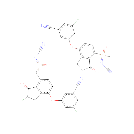 CS(=O)(=NC#N)c1ccc(Oc2cc(F)cc(C#N)c2)c2c1C(=O)CC2.N#CN=[SH](=O)Cc1ccc(Oc2cc(F)cc(C#N)c2)c2c1C(=O)C(F)C2